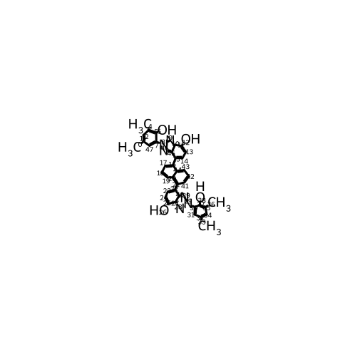 Cc1cc(C)c(O)c(-n2nc3c(O)ccc(-c4cccc5c(-c6ccc(O)c7nn(-c8cc(C)cc(C)c8O)nc67)cccc45)c3n2)c1